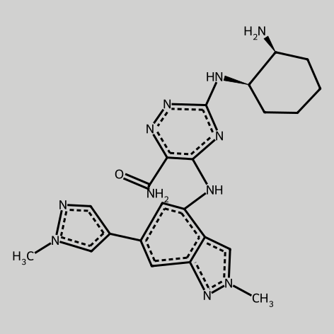 Cn1cc(-c2cc(Nc3nc(N[C@@H]4CCCC[C@@H]4N)nnc3C(N)=O)c3cn(C)nc3c2)cn1